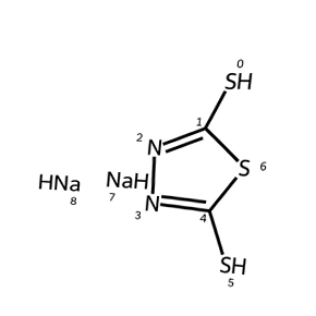 Sc1nnc(S)s1.[NaH].[NaH]